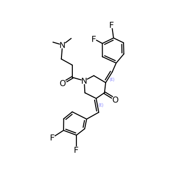 CN(C)CCC(=O)N1C/C(=C\c2ccc(F)c(F)c2)C(=O)/C(=C/c2ccc(F)c(F)c2)C1